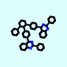 c1ccc(-c2nc(-c3ccc(-c4cccc(-c5ccccc5)c4-c4ccc(-c5nc(-c6ccccc6)nc6ccccc56)cc4)cc3)c3ccccc3n2)cc1